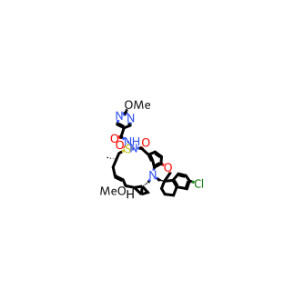 COc1ncc(C(=O)N[S@@]2(=O)=NC(=O)c3ccc4c(c3)N(C[C@@]3(CCCc5cc(Cl)ccc53)CO4)C[C@]34CC3[C@H]4[C@@H](OC)/C=C/C[C@H](C)C2)cn1